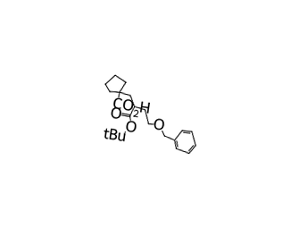 CC(C)(C)OC(=O)C(CCOCc1ccccc1)CC1(C(=O)O)CCCC1